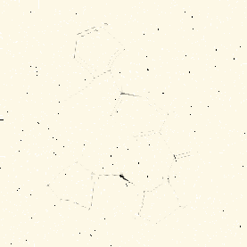 O=C(c1ccc(-c2ccccc2F)cc1)N1CCC[C@H]1CN1CCCC1